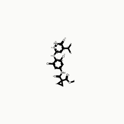 COC(=O)C1(C(=O)Nc2cc(Cl)c(Oc3cc(C(C)C)c(=O)[nH]n3)c(Cl)c2)CC1